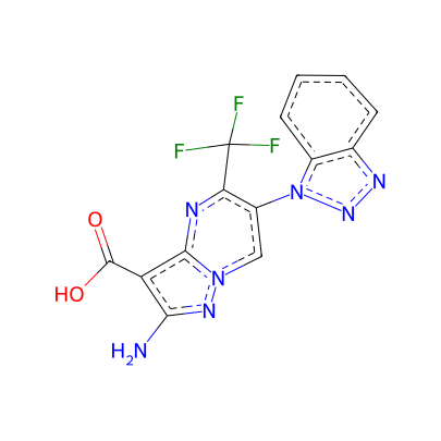 Nc1nn2cc(-n3nnc4ccccc43)c(C(F)(F)F)nc2c1C(=O)O